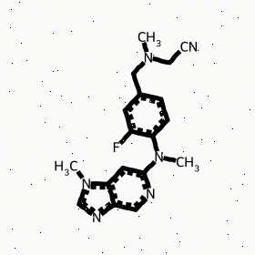 CN(CC#N)Cc1ccc(N(C)c2cc3c(cn2)ncn3C)c(F)c1